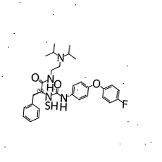 CC(C)N(CCNC(=O)[C@H](Cc1ccccc1)N(S)C(=O)Nc1ccc(Oc2ccc(F)cc2)cc1)C(C)C